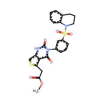 COC(=O)Cc1scc2[nH]c(=O)n(-c3cccc(S(=O)(=O)N4CCCc5ccccc54)c3)c(=O)c12